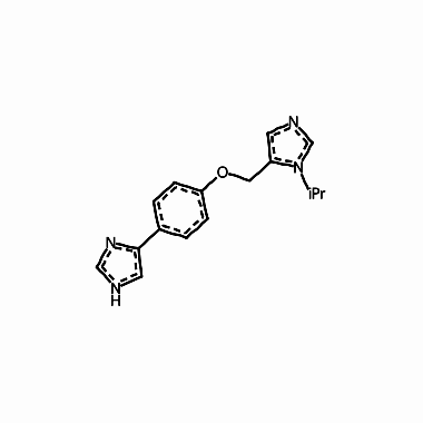 CC(C)n1cncc1COc1ccc(-c2c[nH]cn2)cc1